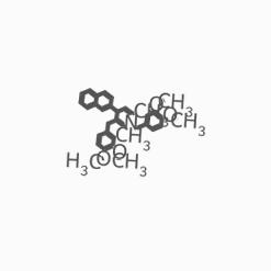 COc1ccc(CC2=C(C)N(Cc3ccc(OC)c(OC)c3)C(C)=CC2c2ccc3ccccc3c2)cc1OC